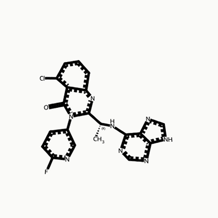 C[C@@H](Nc1ncnc2[nH]cnc12)c1nc2cccc(Cl)c2c(=O)n1-c1ccc(F)nc1